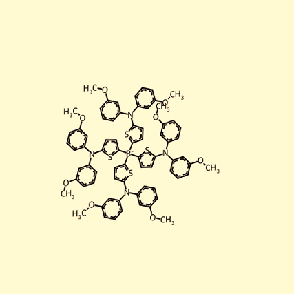 COc1cccc(N(c2cccc(OC)c2)c2ccc([B-](c3ccc(N(c4cccc(OC)c4)c4cccc(OC)c4)s3)(c3ccc(N(c4cccc(OC)c4)c4cccc(OC)c4)s3)c3ccc(N(c4cccc(OC)c4)c4cccc(OC)c4)s3)s2)c1